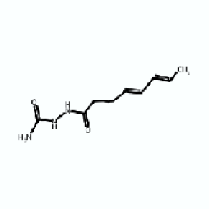 C/C=C/C=C/CCC(=O)NNC(N)=O